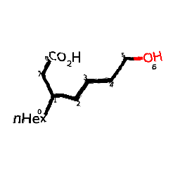 CCCCCCC(CCCCO)CC(=O)O